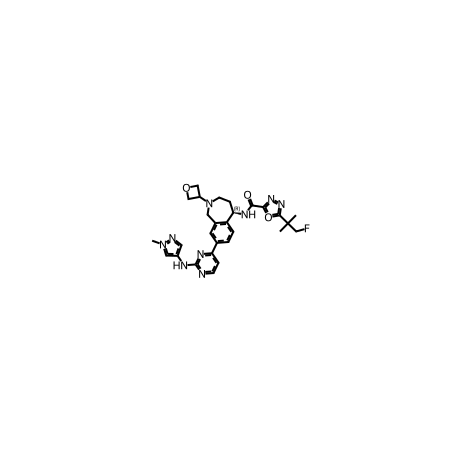 Cn1cc(Nc2nccc(-c3ccc4c(c3)CN(C3COC3)CC[C@H]4NC(=O)c3nnc(C(C)(C)CF)o3)n2)cn1